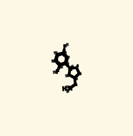 NCC1CCN(c2cc(F)ccc2F)C1